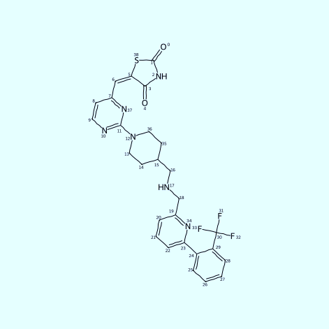 O=C1NC(=O)/C(=C\c2ccnc(N3CCC(CNCc4cccc(-c5ccccc5C(F)(F)F)n4)CC3)n2)S1